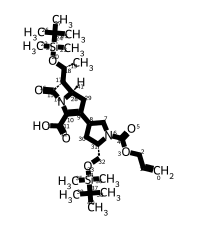 C=CCOC(=O)N1CC(C2=C(C(=O)O)N3C(=O)[C@H]([C@@H](C)O[Si](C)(C)C(C)(C)C)[C@H]3C2)C[C@H]1CO[Si](C)(C)C(C)(C)C